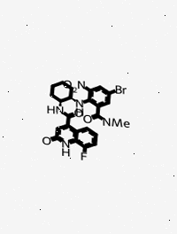 CNC(=O)c1cc(Br)cc([N+](=O)[O-])c1N[C@@H]1CCCC[C@@H]1NC(=O)c1cc(=O)[nH]c2c(F)cccc12